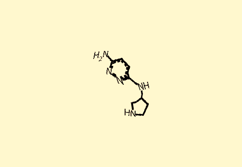 Nc1ccc(NC2CCNC2)nn1